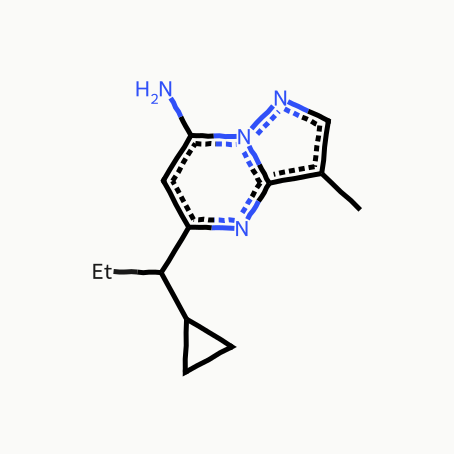 CCC(c1cc(N)n2ncc(C)c2n1)C1CC1